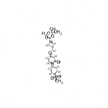 CC(C)(C)OC(=O)N1CC(COc2ccn(-c3ccc(S(C)(=O)=O)cc3)c(=O)c2)C1